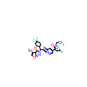 CCc1conc1C(=O)NC(c1cn2ncc(C(CC(F)F)C(=O)NCC(F)(F)F)cc2n1)C1CCC(F)(F)CC1